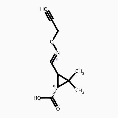 C#CCO/N=C/C1[C@@H](C(=O)O)C1(C)C